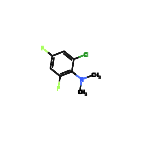 CN(C)c1c(F)cc(F)cc1Cl